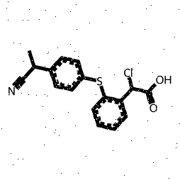 CC(C#N)c1ccc(Sc2ccccc2C(Cl)C(=O)O)cc1